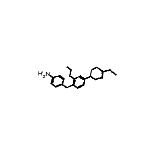 CCCc1cc(C2CCC(CC)CC2)ccc1Cc1ccc(N)cc1